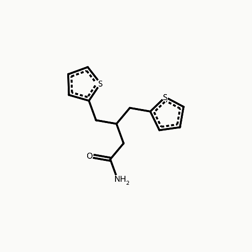 NC(=O)CC(Cc1cccs1)Cc1cccs1